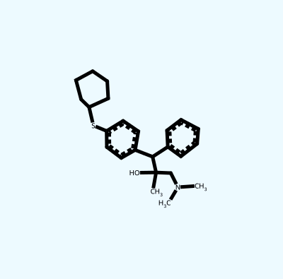 CN(C)CC(C)(O)C(c1ccccc1)c1ccc(SC2CCCCC2)cc1